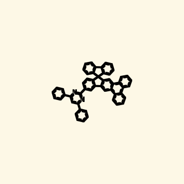 c1ccc(-c2cc(-c3ccccc3)nc(-c3ccc4c(c3)-c3cc5c6ccccc6c6ccccc6c5cc3C43c4ccccc4-c4ccccc43)n2)cc1